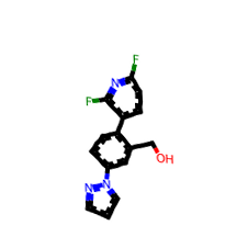 OCc1cc(-n2cccn2)ccc1-c1ccc(F)nc1F